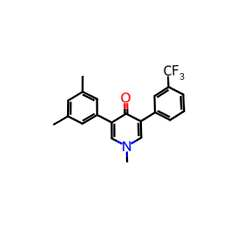 Cc1cc(C)cc(-c2cn(C)cc(-c3cccc(C(F)(F)F)c3)c2=O)c1